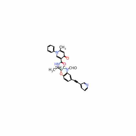 Cc1cc(=O)c(C(=O)N[C@H](C)COc2ccc(C#Cc3cccnc3)cc2N(C)C=O)cn1-c1ccccc1